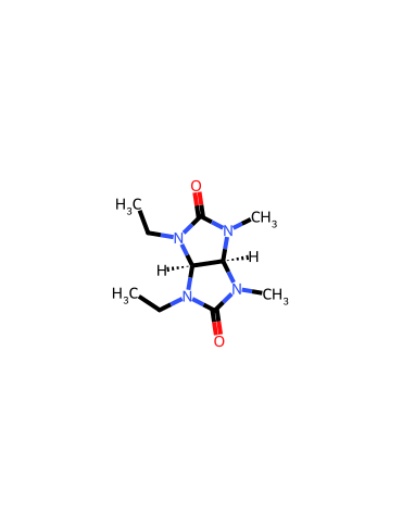 CCN1C(=O)N(C)[C@H]2[C@@H]1N(CC)C(=O)N2C